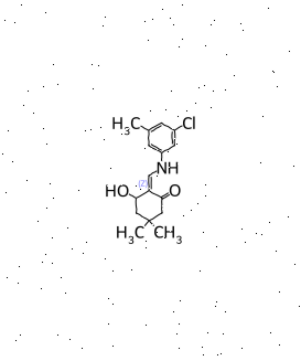 Cc1cc(Cl)cc(N/C=C2\C(=O)CC(C)(C)CC2O)c1